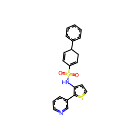 O=S(=O)(Nc1ccsc1-c1cccnc1)C1=CCC(c2ccccc2)C=C1